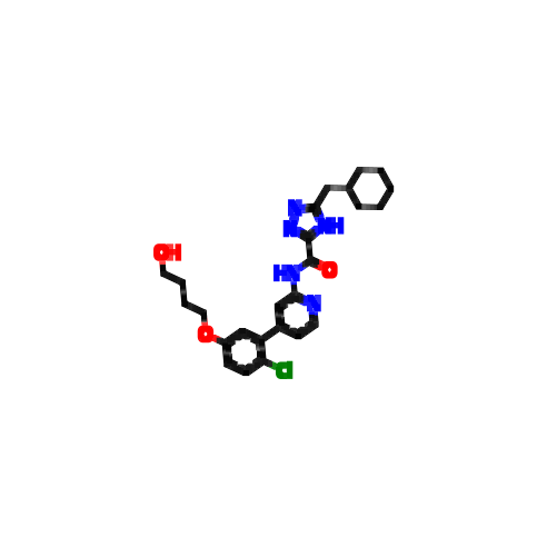 O=C(Nc1cc(-c2cc(OCCCCO)ccc2Cl)ccn1)c1nnc(CC2CCCCC2)[nH]1